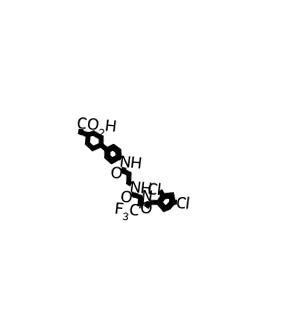 O=C(O)CC1CCC(c2ccc(NC(=O)CCNC(=O)c3nc(-c4ccc(Cl)cc4Cl)oc3C(F)(F)F)cc2)CC1